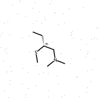 CC[C@H](CN(C)C)SC